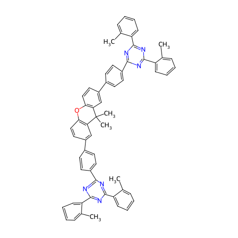 Cc1ccccc1-c1nc(-c2ccc(-c3ccc4c(c3)C(C)(C)c3cc(-c5ccc(-c6nc(-c7ccccc7C)nc(-c7ccccc7C)n6)cc5)ccc3O4)cc2)nc(-c2ccccc2C)n1